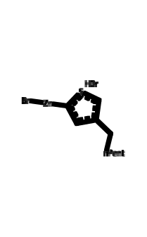 Br.CCCCCCc1cs[c]([Zn][Br])c1